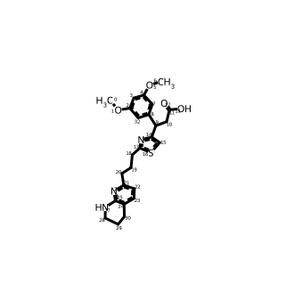 COc1cc(OC)cc(C(CC(=O)O)c2csc(CCCc3ccc4c(n3)NCCC4)n2)c1